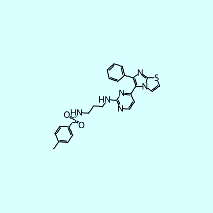 Cc1ccc(S(=O)(=O)NCCCNc2nccc(-c3c(-c4ccccc4)nc4sccn34)n2)cc1